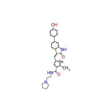 Cc1[se]c(C=C2C(=O)Nc3cc(-c4ccc(O)cc4)ccc32)cc1C(=O)NCCN1CCCC1